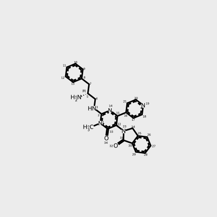 Cn1c(NC[C@H](N)Cc2ccccc2)nc(-c2ccncc2)c(N2Cc3ccccc3C2=O)c1=O